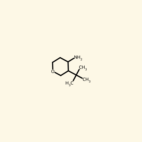 CC(C)(C)C1COCCC1N